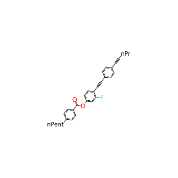 CCCC#Cc1ccc(C#Cc2ccc(OC(=O)c3ccc(CCCCC)cc3)cc2F)cc1